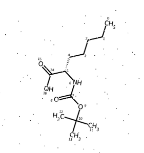 CCCCC[C@H](NC(=O)OC(C)(C)C)C(=O)O